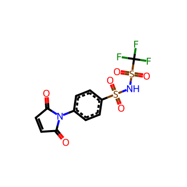 O=C1C=CC(=O)N1c1ccc(S(=O)(=O)NS(=O)(=O)C(F)(F)F)cc1